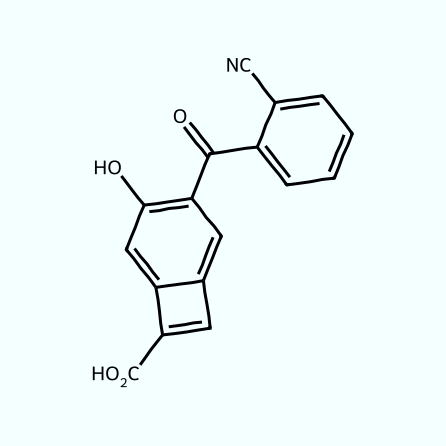 N#Cc1ccccc1C(=O)c1cc2c(cc1O)C(C(=O)O)=C2